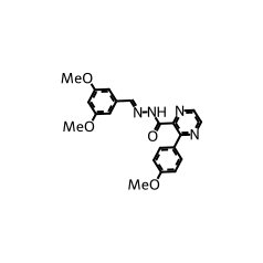 COc1ccc(-c2nccnc2C(=O)NN=Cc2cc(OC)cc(OC)c2)cc1